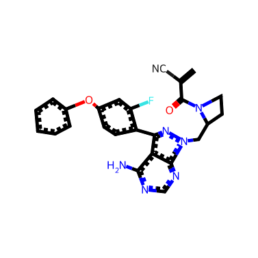 C=C(C#N)C(=O)N1CCC1Cn1nc(-c2ccc(Oc3ccccc3)cc2F)c2c(N)ncnc21